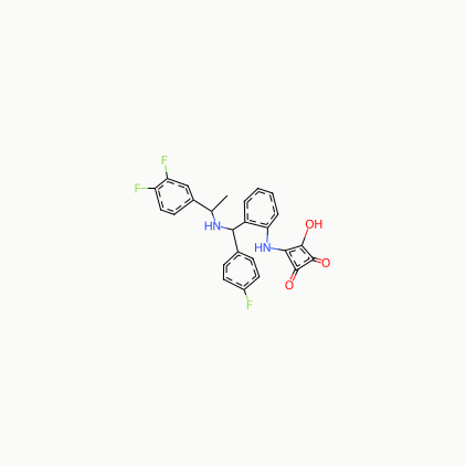 CC(NC(c1ccc(F)cc1)c1ccccc1Nc1c(O)c(=O)c1=O)c1ccc(F)c(F)c1